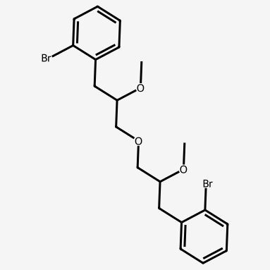 COC(COCC(Cc1ccccc1Br)OC)Cc1ccccc1Br